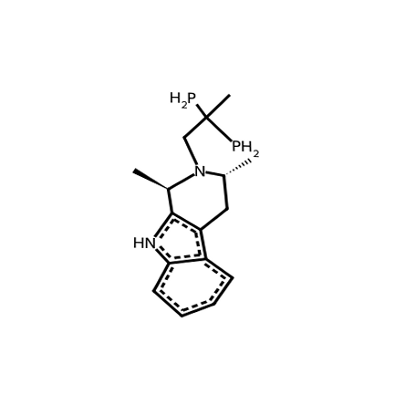 C[C@@H]1Cc2c([nH]c3ccccc23)[C@@H](C)N1CC(C)(P)P